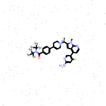 [2H]C([2H])([2H])N(C(=O)c1ccc(C2=CCN([C@@H](C)c3cc4c(-c5cnc(N)cc5F)ccnc4n3C)CC2)cc1)C([2H])([2H])[2H]